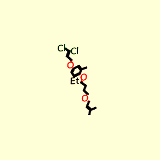 CCc1cc(OCC=C(Cl)Cl)cc(C)c1OCCCCOCC=C(C)C